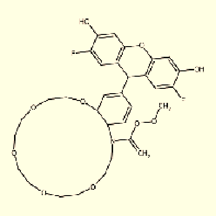 C=C(OOC)N1CCOCCOCCOCCOCCOC2C=C(C3c4cc(F)c(O)cc4Oc4cc(O)c(F)cc43)C=CC21